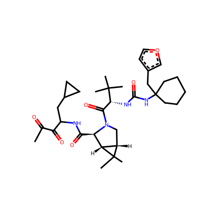 CC(=O)C(=O)C(CC1CC1)NC(=O)[C@@H]1[C@@H]2[C@H](CN1C(=O)[C@@H](NC(=O)NC1(Cc3ccoc3)CCCCC1)C(C)(C)C)C2(C)C